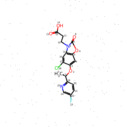 C[C@@H](Oc1cc2oc(=O)n(CCC(=O)O)c2cc1Cl)c1ccc(F)cn1